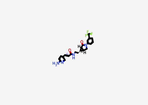 Nc1ccc(/C=C/C(=O)NCC[C@H]2[C@@H]3CN(c4cccc(C(F)(F)F)c4)C(=O)[C@H]23)cn1